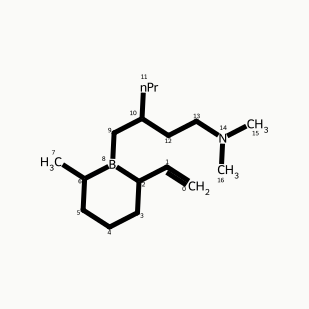 C=CC1CCCC(C)B1CC(CCC)CCN(C)C